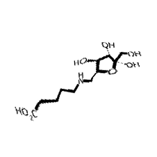 O=C(O)CCCCNC[C@@H]1O[C@](O)(CO)[C@@H](O)[C@@H]1O